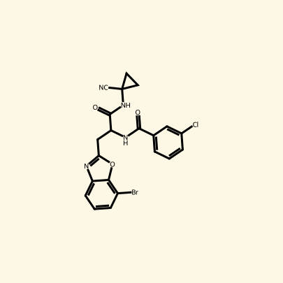 N#CC1(NC(=O)C(Cc2nc3cccc(Br)c3o2)NC(=O)c2cccc(Cl)c2)CC1